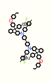 C=Cc1ccc(Oc2ccc(C3(c4ccc(C(C)(C)C)cc4)c4ccccc4-c4ccc(N(c5ccc(-c6ccc(N(c7ccc(-c8ccc(C)c(F)c8)cc7)c7ccc8c(c7)C(c7ccc(Oc9ccc(C=C)cc9)cc7)(c7ccc(C(C)(C)C)cc7)c7ccccc7-8)cc6)cc5)c5ccc(-c6ccc(C)c(F)c6)cc5)cc43)cc2)cc1